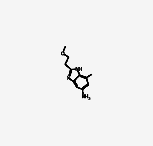 COCCc1nc2cc(N)cc(C)c2[nH]1